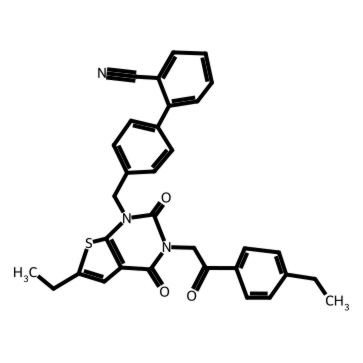 CCc1ccc(C(=O)Cn2c(=O)c3cc(CC)sc3n(Cc3ccc(-c4ccccc4C#N)cc3)c2=O)cc1